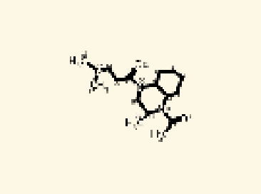 CC(=O)N1C2CCCCC2N(C(=O)CCN(C)C)C[C@@H]1C